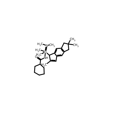 CC1=Cc2cc3c(cc2[CH]1[Ti]([CH3])([CH3])([NH]C(=O)C1CCCCC1)=[Si](C)C)CC(C)(C)C3